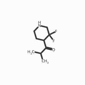 CC(C)C(=O)C1CCNCC1(F)F